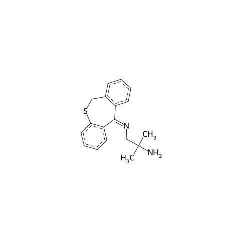 CC(C)(N)CN=C1c2ccccc2CSc2ccccc21